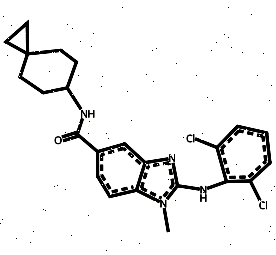 Cn1c(Nc2c(Cl)cccc2Cl)nc2cc(C(=O)NC3CCC4(CC3)CC4)ccc21